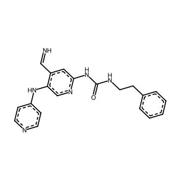 N=Cc1cc(NC(=O)NCCc2ccccc2)ncc1Nc1ccncc1